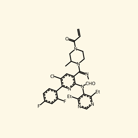 C=CC(=O)N1CCN(/C(=N/C)c2cc(Cl)c(-c3ccc(F)cc3F)nc2N(C=O)c2c(CC)ncnc2CC)C(C)C1